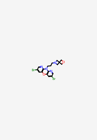 Brc1cnc2c(c1)Oc1cc(Br)cnc1N2CCCN1CC2(COC2)C1